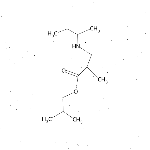 CCC(C)NCC(C)C(=O)OCC(C)C